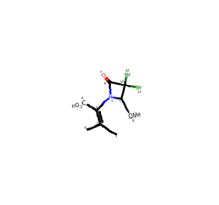 COC1N(C(C(=O)O)=C(C)C)C(=O)C1(Br)Br